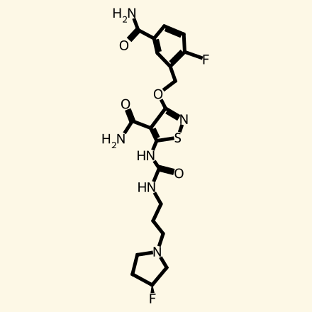 NC(=O)c1ccc(F)c(COc2nsc(NC(=O)NCCCN3CC[C@H](F)C3)c2C(N)=O)c1